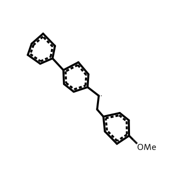 COc1ccc(C[CH]c2ccc(-c3ccccc3)cc2)cc1